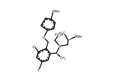 CN[C@H](C)CN(CC(=O)O)[C@@H](C)c1cc(F)cc(Cl)c1COc1ccc(OC)cc1